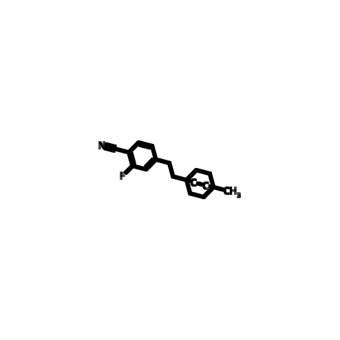 CC12CCC(CCc3ccc(C#N)c(F)c3)(CC1)CC2